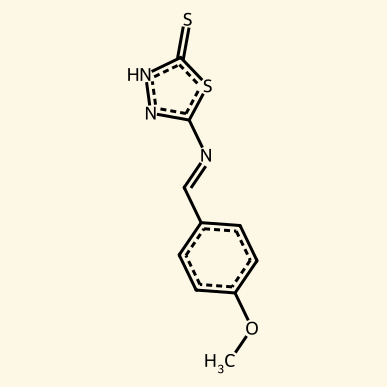 COc1ccc(C=Nc2n[nH]c(=S)s2)cc1